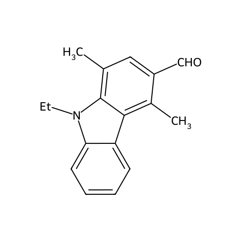 CCn1c2ccccc2c2c(C)c(C=O)cc(C)c21